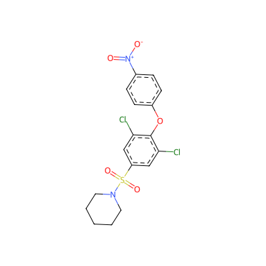 O=[N+]([O-])c1ccc(Oc2c(Cl)cc(S(=O)(=O)N3CCCCC3)cc2Cl)cc1